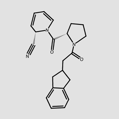 N#C[C@@H]1C=CC=CN1C(=O)[C@@H]1CCCN1C(=O)CC1Cc2ccccc2C1